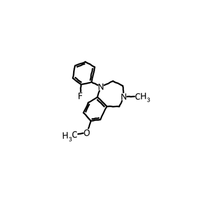 COc1ccc2c(c1)CN(C)CCN2c1ccccc1F